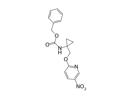 O=C(NC1(COc2ccc([N+](=O)[O-])cn2)CC1)OCc1ccccc1